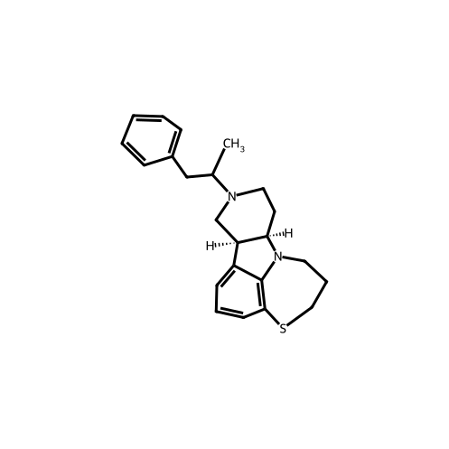 CC(Cc1ccccc1)N1CC[C@@H]2[C@H](C1)c1cccc3c1N2CCCS3